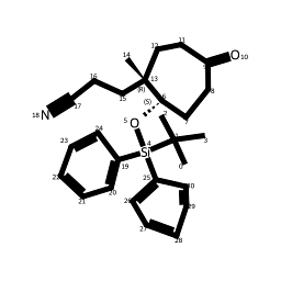 CC(C)(C)[Si](O[C@H]1CCC(=O)CC[C@@]1(C)CCC#N)(c1ccccc1)c1ccccc1